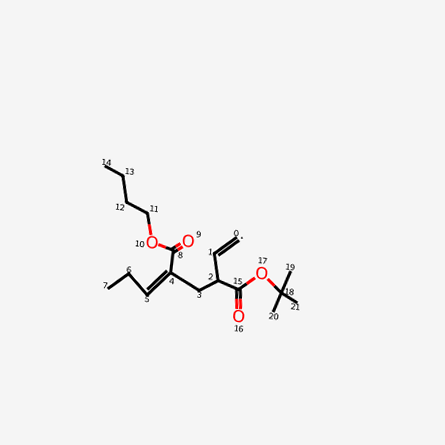 [CH]=CC(CC(=CCC)C(=O)OCCCC)C(=O)OC(C)(C)C